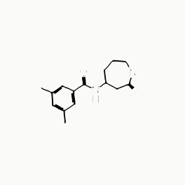 Cc1cc(C)cc(C(=O)NC2CCCNC(=O)C2)c1